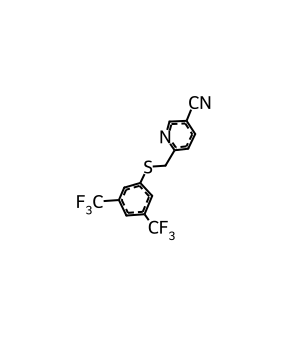 N#Cc1ccc(CSc2cc(C(F)(F)F)cc(C(F)(F)F)c2)nc1